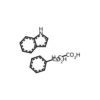 CC(=O)O.O=C(O)c1ccccc1.c1ccc2[nH]ccc2c1